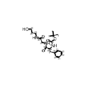 CC(C)(C)OC(=O)N[C@@H](Cc1ccccc1)C(=O)NCC(=O)NCCCO